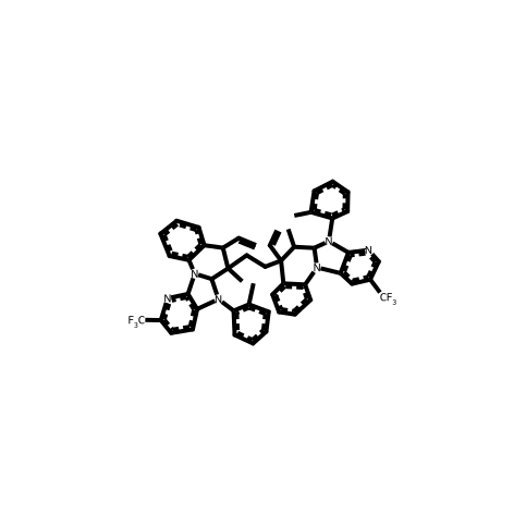 C=CC1c2ccccc2N2c3nc(C(F)(F)F)ccc3N(c3ccccc3C)C2C1(C)CCC1(C=C)c2ccccc2N2c3cc(C(F)(F)F)cnc3N(c3ccccc3C)C2C1C